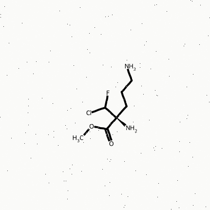 COC(=O)[C@@](N)(CCCN)C(F)Cl